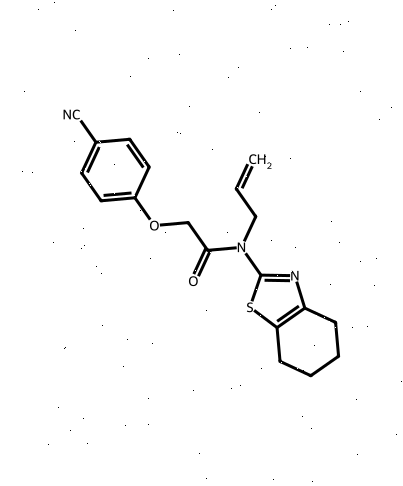 C=CCN(C(=O)COc1ccc(C#N)cc1)c1nc2c(s1)CCCC2